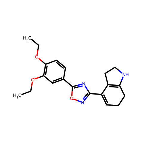 CCOc1ccc(-c2nc(C3=CCCC4=C3CCN4)no2)cc1OCC